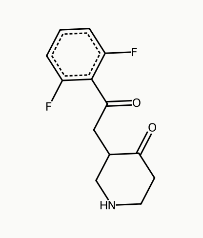 O=C(CC1CNCCC1=O)c1c(F)cccc1F